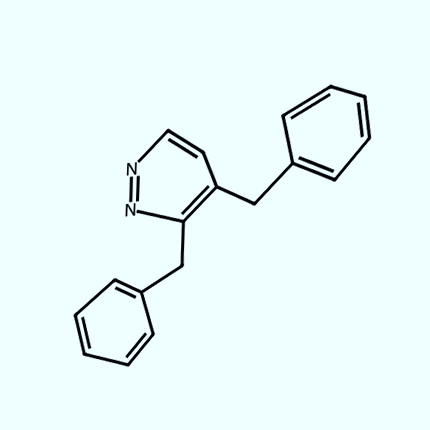 c1ccc(Cc2ccnnc2Cc2ccccc2)cc1